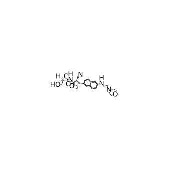 CC(C)(CCO)NC(=O)/C(C#N)=C/c1ccc2cc(NCCN3CCOCC3)ccc2c1